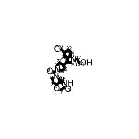 O=C1COC2CCN(C(=O)N3CCC(c4cn(CCO)c5ccc(Cl)cc45)CC3)C[C@@H]2N1